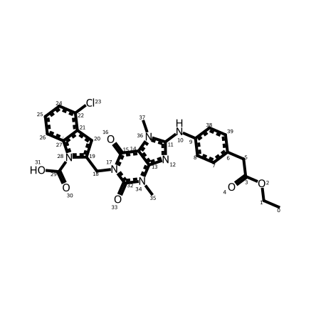 CCOC(=O)Cc1ccc(Nc2nc3c(c(=O)n(Cc4cc5c(Cl)cccc5n4C(=O)O)c(=O)n3C)n2C)cc1